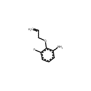 C=CCOc1c(N)cccc1F